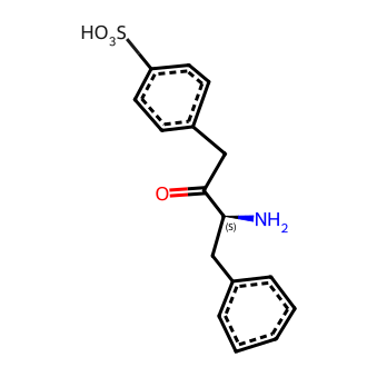 N[C@@H](Cc1ccccc1)C(=O)Cc1ccc(S(=O)(=O)O)cc1